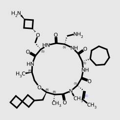 C/C=C/[C@H]1C(=O)N[C@@H](C2CCCCCC2)C(=O)N[C@@H](CN)C(=O)N[C@@H](CO[C@H]2C[C@H](N)C2)C(=O)N[C@H](C)CO[C@H](CC2CC3(CCC3)C2)[C@@H](C)C(=O)N1C